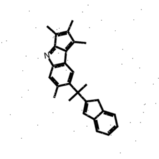 CC1=C(C)C(C)=C2C1=Nc1cc(C)c(C(C)(C)C3=Cc4ccccc4C3)cc12